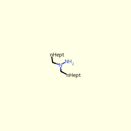 CCCCCCCCN(N)CCCCCCCC